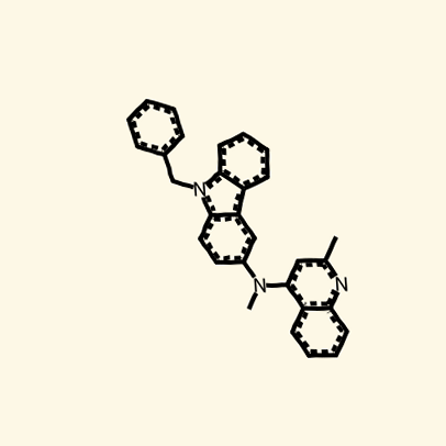 Cc1cc(N(C)c2ccc3c(c2)c2ccccc2n3Cc2ccccc2)c2ccccc2n1